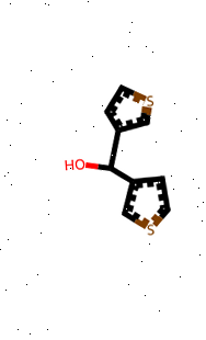 OC(c1ccsc1)c1ccsc1